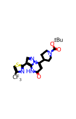 CC(C)(C)OC(=O)N1CCC(c2cc(=O)[nH]c3c(-c4nc(C(F)(F)F)cs4)cnn23)CC1